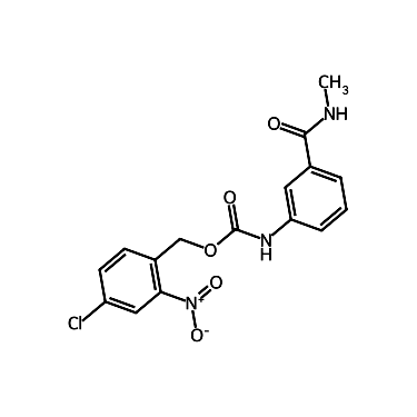 CNC(=O)c1cccc(NC(=O)OCc2ccc(Cl)cc2[N+](=O)[O-])c1